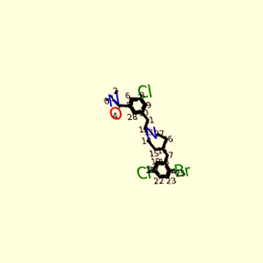 CN(C)C(=O)c1cc(Cl)cc(CCN2CCC(Cc3cc(Cl)ccc3Br)CC2)c1